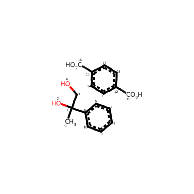 CC(O)(CO)c1ccccc1.O=C(O)c1ccc(C(=O)O)cc1